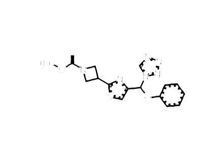 CC(C)(C)OC(=O)N1CC(c2nc(C(Oc3ccccc3)n3cnnn3)cs2)C1